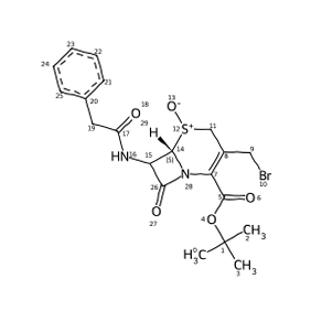 CC(C)(C)OC(=O)C1=C(CBr)C[S+]([O-])[C@H]2C(NC(=O)Cc3ccccc3)C(=O)N12